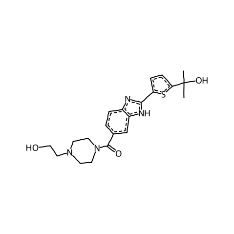 CC(C)(O)c1ccc(-c2nc3ccc(C(=O)N4CCN(CCO)CC4)cc3[nH]2)s1